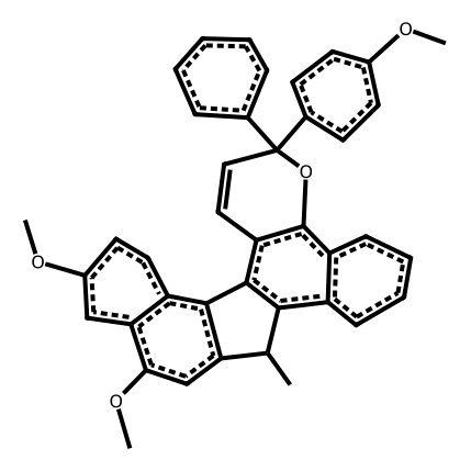 COc1ccc(C2(c3ccccc3)C=Cc3c4c(c5ccccc5c3O2)C(C)c2cc(OC)c3cc(OC)ccc3c2-4)cc1